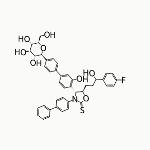 OC[C@H]1O[C@@H](c2ccc(-c3ccc([C@@H]4[C@@H](CCC(O)c5ccc(F)cc5)OC(=S)N4c4ccc(-c5ccccc5)cc4)c(O)c3)cc2)[C@H](O)[C@@H](O)[C@@H]1O